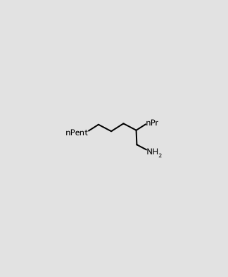 CCCCCCCCC(CN)CCC